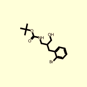 CC(C)(C)OC(=O)NCC(CO)Cc1ccccc1Br